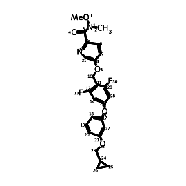 CON(C)C(=O)c1ccc(OCc2c(F)cc(Oc3cccc(OCC4CC4)c3)cc2F)cn1